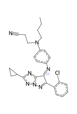 CCCCN(CCC#N)c1ccc(/N=C2/C(c3ccccc3Cl)=Nn3nc(C4CC4)nc32)cc1